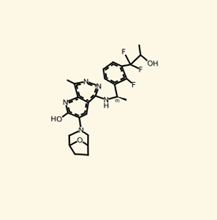 Cc1nnc(N[C@H](C)c2cccc(C(F)(F)C(C)O)c2F)c2cc(N3CC4CCC(C3)O4)c(O)nc12